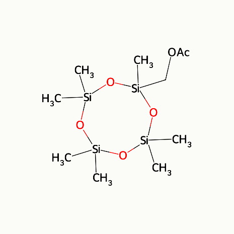 CC(=O)OC[Si]1(C)O[Si](C)(C)O[Si](C)(C)O[Si](C)(C)O1